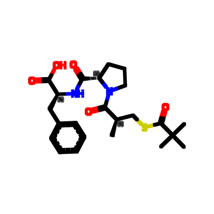 C[C@H](CSC(=O)C(C)(C)C)C(=O)N1CCC[C@H]1C(=O)N[C@@H](Cc1ccccc1)C(=O)O